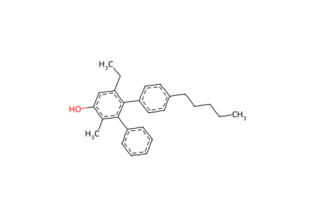 CCCCCc1ccc(-c2c(CC)cc(O)c(C)c2-c2ccccc2)cc1